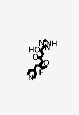 O=C(C=C(O)c1nc[nH]n1)c1occ(F)c1Cc1ccncc1